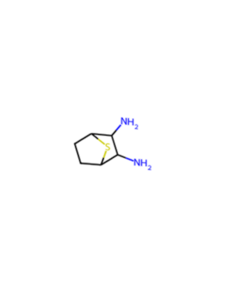 NC1C2CCC(S2)C1N